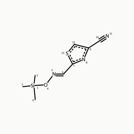 C[Si](C)(C)ON=Cc1nc(C#N)cs1